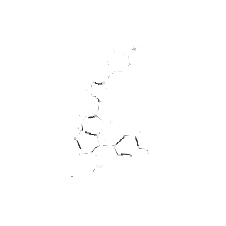 Cc1cc2nc(-c3ncc(N4CCN(C(C)C)CC4)s3)sc2c(-c2ccc(Cl)cc2)c1CC(=O)O